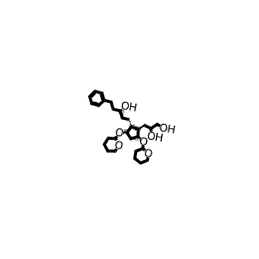 OCC(O)C[C@@H]1[C@@H](CC[C@@H](O)CCc2ccccc2)[C@H](OC2CCCCO2)C[C@@H]1OC1CCCCO1